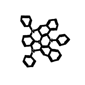 c1ccc(N2c3cccc4c3B3c5c2cc2ccccc2c5N(c2ccccc2)c2c3c(cc3ccccc23)N4c2ccccc2)cc1